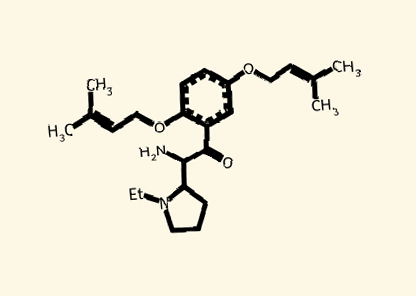 CCN1CCCC1C(N)C(=O)c1cc(OCC=C(C)C)ccc1OCC=C(C)C